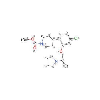 CC[C@H](COc1cc(Cl)ccc1C1CCN(C(=O)OC(C)(C)C)CC1)N1CCCC1